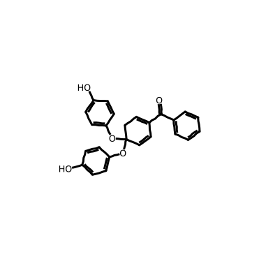 O=C(C1=CCC(Oc2ccc(O)cc2)(Oc2ccc(O)cc2)C=C1)c1ccccc1